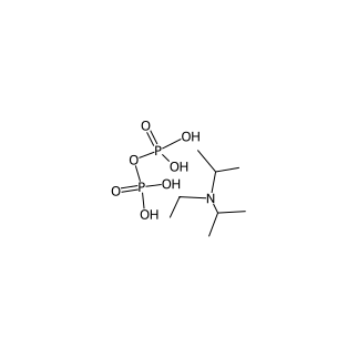 CCN(C(C)C)C(C)C.O=P(O)(O)OP(=O)(O)O